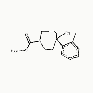 Cc1ncccc1C1(C#N)CCN(C(=O)OC(C)(C)C)CC1